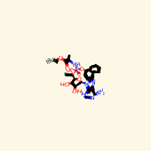 CC(NP(=O)(Oc1cccc2ccccc12)OC(C)[C@H]1O[C@@H](n2cnc3c(N)ncnc32)C(O)C1O)C(=O)OCC(C)(C)C